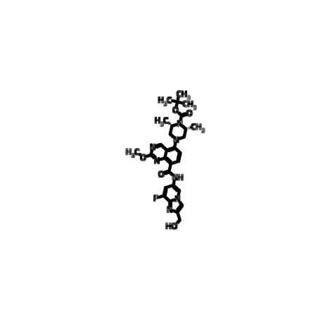 COc1ncc2c(N3C[C@@H](C)N(C(=O)OC(C)(C)C)[C@@H](C)C3)ccc(C(=O)Nc3cc(F)c4nc(CO)cn4c3)c2n1